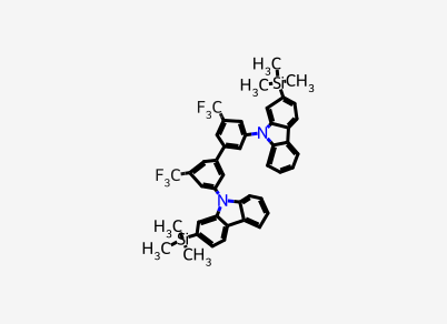 C[Si](C)(C)c1ccc2c3ccccc3n(-c3cc(-c4cc(-n5c6ccccc6c6ccc([Si](C)(C)C)cc65)cc(C(F)(F)F)c4)cc(C(F)(F)F)c3)c2c1